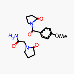 COc1ccc(C(=O)N2CCCC2=O)cc1.NC(=O)CN1CCCC1=O